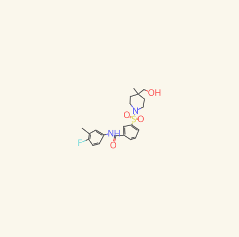 Cc1cc(NC(=O)c2cccc(S(=O)(=O)N3CCC(C)(CO)CC3)c2)ccc1F